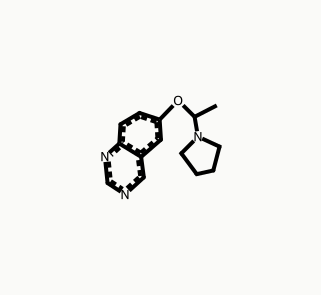 CC(Oc1ccc2ncncc2c1)N1CCCC1